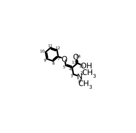 CN(C)CC(=COc1ccccc1)C(=O)O